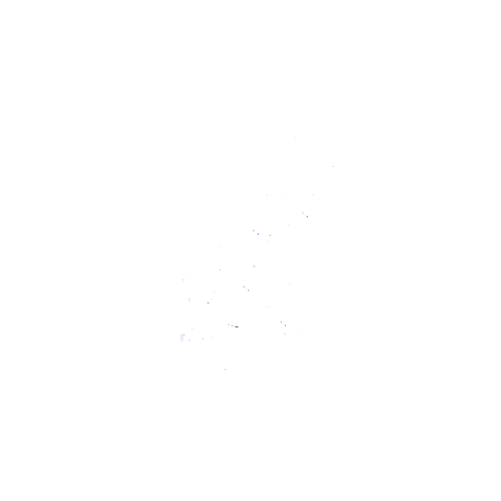 COc1cccc2[nH]c(C(=O)N[C@@H](CC3CC3)C(=O)N[C@@H](C[C@@H]3CCCNC3=O)C(N)=O)cc12